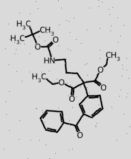 CCOC(=O)C(CCCNC(=O)OC(C)(C)C)(C(=O)OCC)c1cccc(C(=O)c2ccccc2)c1